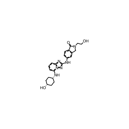 O=C1c2ccc(Nc3nc4cccc(N[C@H]5CC[C@@H](O)CC5)n4n3)cc2CN1CCO